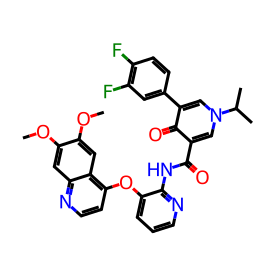 COc1cc2nccc(Oc3cccnc3NC(=O)c3cn(C(C)C)cc(-c4ccc(F)c(F)c4)c3=O)c2cc1OC